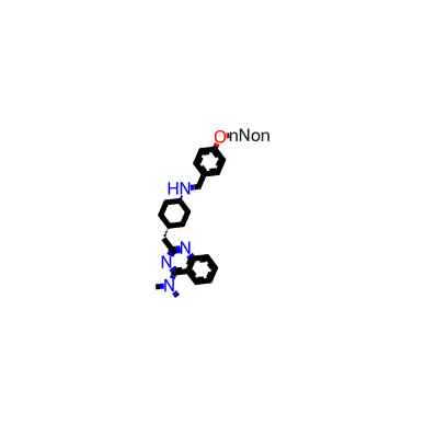 CCCCCCCCCOc1ccc(CN[C@H]2CC[C@@H](Cc3nc(N(C)C)c4ccccc4n3)CC2)cc1